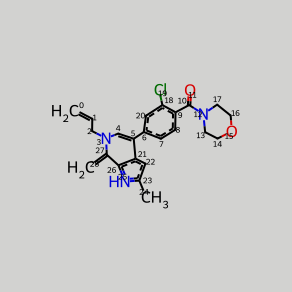 C=CCN1C=C(c2ccc(C(=O)N3CCOCC3)c(Cl)c2)c2cc(C)[nH]c2C1=C